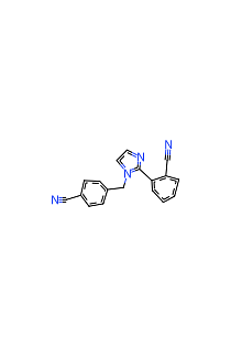 N#Cc1ccc(Cn2ccnc2-c2ccccc2C#N)cc1